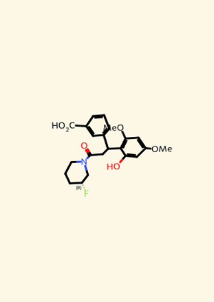 COc1cc(O)c(C(CC(=O)N2CCC[C@@H](F)C2)c2cccc(C(=O)O)c2)c(OC)c1